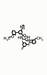 CCOc1cccc(-c2cc(C(=O)N[C@@H](Cc3cc(F)cc(F)c3)[C@H](O)CNCc3cccc(CC)c3)cc(-c3nccs3)c2)c1